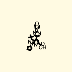 CC(C)(C)c1nn(C2CCCC2)c2nc(C(=O)O)cc(-c3cnc(N4CCOCC4)nc3)c12